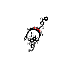 CC[C@H]1/C=C/O[C@@]2(C)Oc3c(C)c(O)c4c(c3C2=O)C2=NC3(CCN(CC(C)C)CC3)NC2=C(NC(=O)/C(C)=C\C=C\[C@H](C)[C@H](O)[C@@H](C)[C@@H](O)[C@@H](C)[C@H](OC(=O)CC(=O)N2CCC(C(=O)c3ccccc3)CC2)[C@@H]1C)C4=O